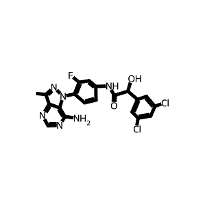 Cc1nn(-c2ccc(NC(=O)C(O)c3cc(Cl)cc(Cl)c3)cc2F)c2c(N)ncnc12